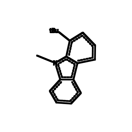 Cn1c2ccccc2c2cccc(C(C)(C)C)c21